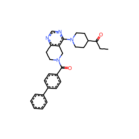 CCC(=O)C1CCN(c2ncnc3c2CN(C(=O)c2ccc(-c4ccccc4)cc2)CC3)CC1